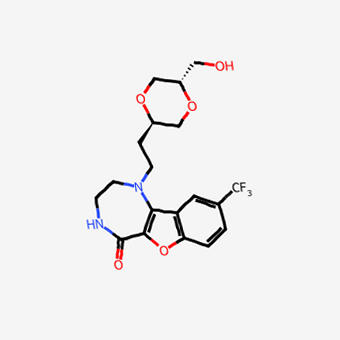 O=C1NCCN(CC[C@@H]2CO[C@@H](CO)CO2)c2c1oc1ccc(C(F)(F)F)cc21